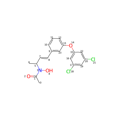 CC(=O)N(O)C(C)C=Cc1cccc(Oc2cc(Cl)cc(Cl)c2)c1